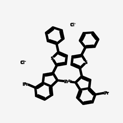 CC(C)c1cccc2c1C=C(c1ccc(-c3ccccc3)s1)[CH]2[Zr+2][CH]1C(c2ccc(-c3ccccc3)s2)=Cc2c(C(C)C)cccc21.[Cl-].[Cl-]